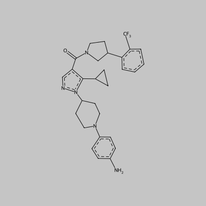 Nc1ccc(N2CCC(n3ncc(C(=O)N4CCC(c5ccccc5C(F)(F)F)C4)c3C3CC3)CC2)cc1